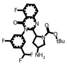 CC(C)(C)OC(=O)N1CC(N)CC1c1nc2cccc(F)c2c(=O)n1-c1cc(F)cc(C(F)F)c1